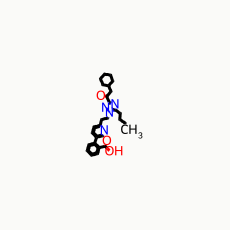 CCCCc1nc(C(=O)CC2CCCCC2)nn1CCc1ccc(-c2ccccc2C(=O)O)cn1